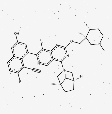 C#Cc1c(F)ccc2cc(O)cc(-c3ncc4c(N5C[C@H]6CC[C@@H](C5)N6)nc(OC[C@]5(C)CN(C)CC[C@H]5C)nc4c3F)c12